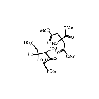 CCCCCCCCCCCC(=O)C(C(=O)O)C(O)(CC(=O)O)C(=O)O.COC(=O)CC(O)(CC(=O)OC)C(=O)OC